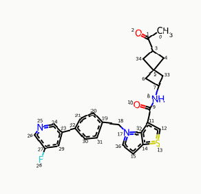 CC(=O)C1CC2(CC(NC(=O)c3csc4ccn(Cc5ccc(-c6cncc(F)c6)cc5)c34)C2)C1